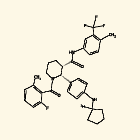 [2H]C1(Nc2ccc([C@H]3[C@@H](C(=O)Nc4ccc(C)c(C(F)(F)F)c4)CCCN3C(=O)c3c(C)cccc3F)cc2)CCCC1